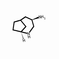 N[C@H]1CN[C@H]2CCC(C1)C2